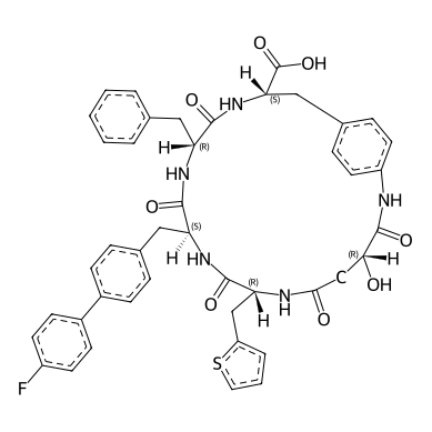 O=C1C[C@@H](O)C(=O)Nc2ccc(cc2)C[C@@H](C(=O)O)NC(=O)[C@@H](Cc2ccccc2)NC(=O)[C@H](Cc2ccc(-c3ccc(F)cc3)cc2)NC(=O)[C@@H](Cc2cccs2)N1